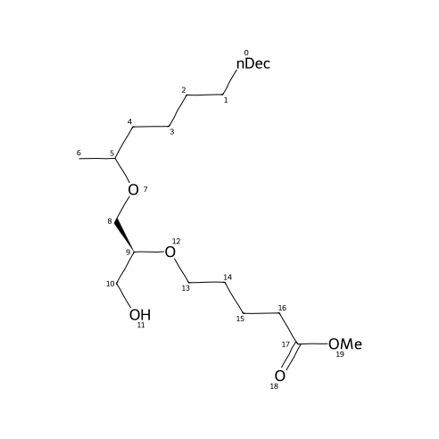 CCCCCCCCCCCCCCC(C)OC[C@H](CO)OCCCCC(=O)OC